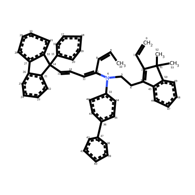 C=CC1=C(CCN(C(/C=C\C)=C/C=CC2(c3ccccc3)c3ccccc3-c3ccccc32)c2ccc(-c3ccccc3)cc2)c2ccccc2C1(C)C